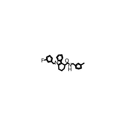 Cc1cccc(CNC(=O)C2CCCc3c2c2ccccc2n3Cc2cccc(F)c2)c1